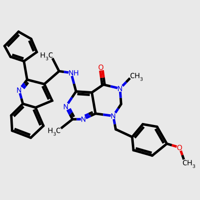 COc1ccc(CN2CN(C)C(=O)c3c(NC(C)c4cc5ccccc5nc4-c4ccccc4)nc(C)nc32)cc1